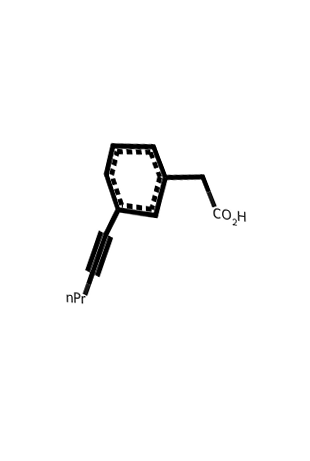 CCCC#Cc1cccc(CC(=O)O)c1